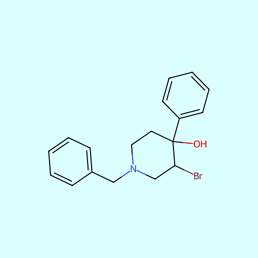 OC1(c2ccccc2)CCN(Cc2ccccc2)CC1Br